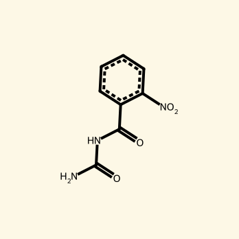 NC(=O)NC(=O)c1ccccc1[N+](=O)[O-]